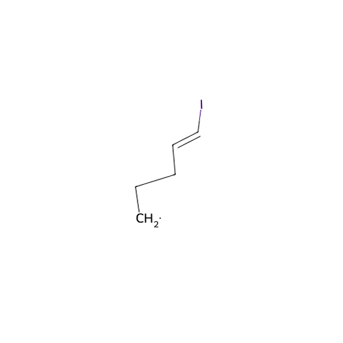 [CH2]CCC=CI